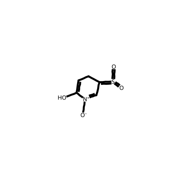 O=S(=O)=C1C=[N+]([O-])C(O)=CC1